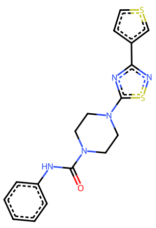 O=C(Nc1ccccc1)N1CCN(c2nc(-c3ccsc3)ns2)CC1